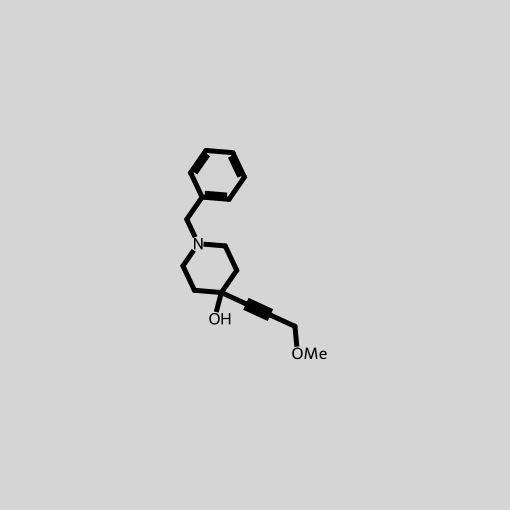 COCC#CC1(O)CCN(Cc2ccccc2)CC1